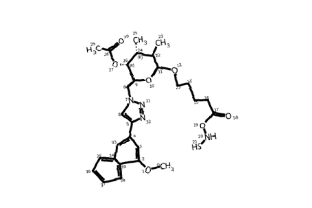 COc1cc(-c2cn(CC3OC(OCCCCC(=O)ONS)C(C)[C@@H](C)[C@H]3OC(C)=O)nn2)cc2ccccc12